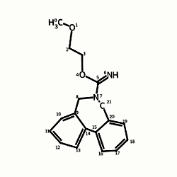 COCCOC(=N)N1Cc2ccccc2-c2ccccc2C1